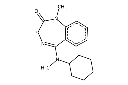 CN1C(=O)[C]N=C(N(C)C2CCCCC2)c2ccccc21